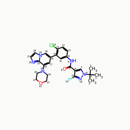 CC(C)(C)n1cc(C(=O)Nc2ccc(Cl)c(-c3cc(N4CCOCC4)c4nccn4c3)c2)c(F)n1